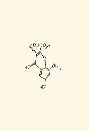 Cc1cc(Cl)cc2c(=O)c(CC(=O)O)c(C(=O)O)oc12